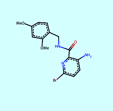 COc1ccc(CNC(=O)c2nc(Br)ccc2N)c(OC)c1